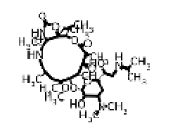 CC[C@H]1OC(=O)C(C)C(=O)[C@H](C)[C@@H](O[C@@H]2O[C@H](C(O)CNC(C)C)CC(N(C)C)C2O)[C@](C)(OC)C[C@@H](C)CN[C@H](C)[C@H]2NC(=O)O[C@@]21CC